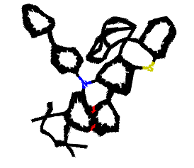 CC1(C)CCC(C)(C)c2cc(N(c3ccc(-c4ccccc4)cc3)c3cc4c(cc3-c3ccccc3)Sc3ccccc3C43C4CC5CC(C4)C3C5)ccc21